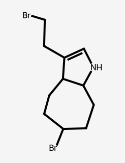 BrCCC1=CNC2CCC(Br)CCC12